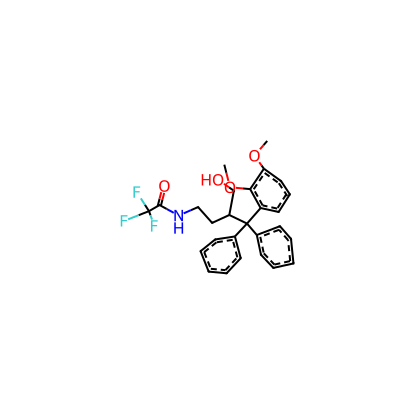 COc1cccc(C(c2ccccc2)(c2ccccc2)C(CO)CCNC(=O)C(F)(F)F)c1OC